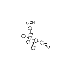 O=COc1ccc(-c2ccc3c(c2)N(c2ccccc2)c2cccc4c2B3c2ccc(-c3ccc(C(=O)O)cc3)cc2N4c2ccccc2)cc1